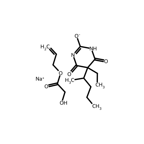 C=CCOC(=O)CO.CCCC(C)C1(CC)C(=O)N=C([O-])NC1=O.[Na+]